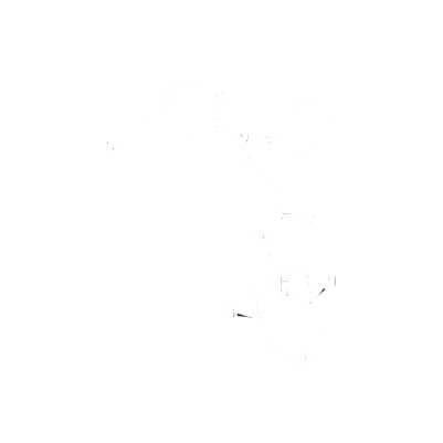 N#Cc1cccc(-n2cc(C(=O)OC3C[C@H]4COC[C@@H](C3)N4)c3ccccc32)c1